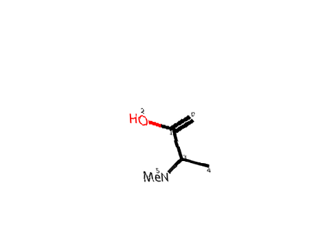 C=C(O)C(C)NC